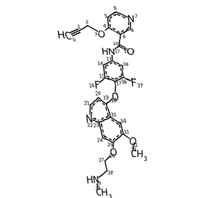 C#CCOc1ccncc1C(=O)Nc1cc(F)c(Oc2ccnc3cc(OCCNC)c(OC)cc23)c(F)c1